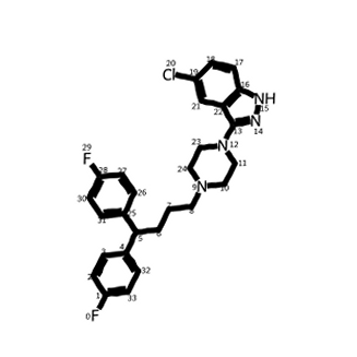 Fc1ccc(C(CCCN2CCN(c3n[nH]c4ccc(Cl)cc34)CC2)c2ccc(F)cc2)cc1